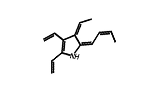 C=Cc1[nH]c(=C/C=C\C)/c(=C\C)c1C=C